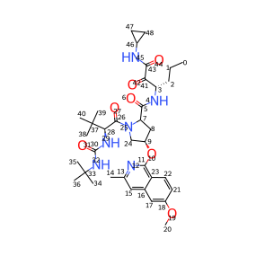 CCC[C@H](NC(=O)C1C[C@@H](Oc2nc(C)cc3cc(OC)ccc23)CN1C(=O)[C@@H](NC(=O)NC(C)(C)C)C(C)(C)C)C(=O)C(=O)NC1CC1